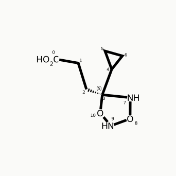 O=C(O)CC[C@]1(C2CC2)NONO1